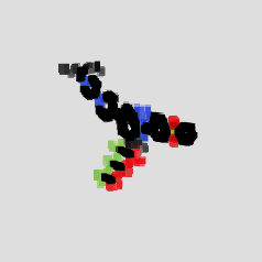 Cc1cc(C2CCN(C3CCN(CC(C)C)CC3)CC2)cc2[nH]c(-c3ccc(S(=O)(=O)c4ccccc4)cc3)nc12.O=C(O)C(F)(F)F.O=C(O)C(F)(F)F.O=C(O)C(F)(F)F